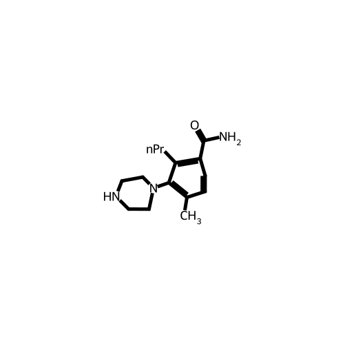 CCCc1c(C(N)=O)ccc(C)c1N1CCNCC1